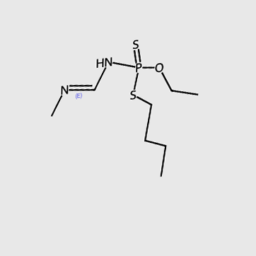 CCCCSP(=S)(N/C=N/C)OCC